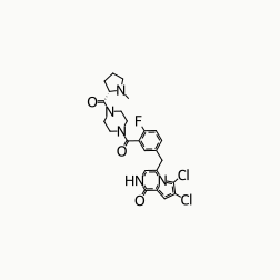 CN1CCC[C@H]1C(=O)N1CCN(C(=O)c2cc(Cc3c[nH]c(=O)c4cc(Cl)c(Cl)n34)ccc2F)CC1